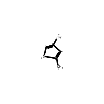 CCCc1csc(C)c1